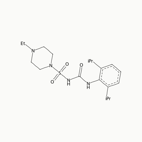 CCN1CCN(S(=O)(=O)NC(=O)Nc2c(C(C)C)cccc2C(C)C)CC1